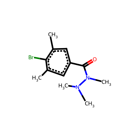 Cc1cc(C(=O)N(C)N(C)C)cc(C)c1Br